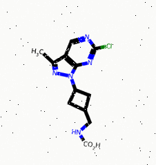 Cc1nn(C2CC(CNC(=O)O)C2)c2nc(Cl)ncc12